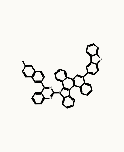 CC1C=Cc2cc(-c3nc(-n4c5ccccc5c5c6c7ccccc7c(-c7ccc8oc9ccccc9c8c7)cc6c6ccccc6c54)nc4ccccc34)ccc2C1